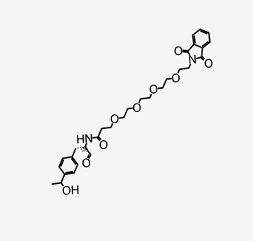 CC(O)c1ccc(C[C@@H](C=O)NC(=O)CCOCCOCCOCCOCCN2C(=O)c3ccccc3C2=O)cc1